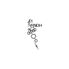 CC#CCOc1ccc(S(=O)(=O)N(C)C(C(=O)NO)C(C)(C)SCC)cc1